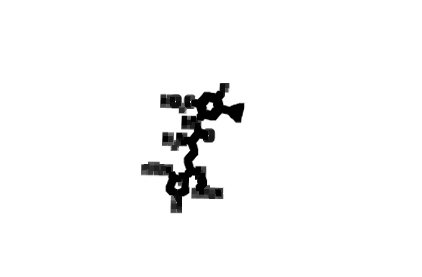 CCCCCC/C=N\C(CCC(N)C(=O)Nc1cc(C2CC2)c(F)cc1C(=O)O)N1CNCC1CCCCCC